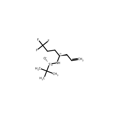 C=CC[C@H](CCC(F)(F)F)N[S@@+]([O-])C(C)(C)C